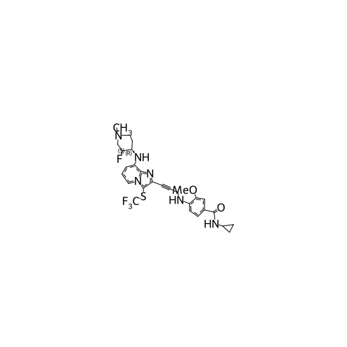 COc1cc(C(=O)NC2CC2)ccc1NCC#Cc1nc2c(N[C@@H]3CCN(C)C[C@@H]3F)cccn2c1SC(F)(F)F